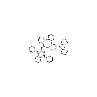 c1ccc(-n2c3ccccc3n(-c3ccccc3)c3cc4c5ccc(-n6c7ccccc7c7ccccc76)cc5c5ccccc5c5ccccc5c4cc32)cc1